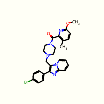 COc1ccc(C)c(C(=O)N2CCN(Cc3c(-c4ccc(Br)cc4)nc4ccccn34)CC2)n1